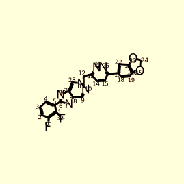 Fc1cccc(-c2nc3cnn(Cc4ccc(-c5ccc6c(c5)OCO6)nn4)cc-3n2)c1F